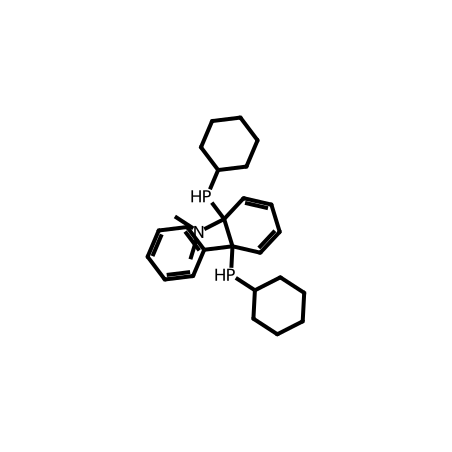 CN(C)C1(PC2CCCCC2)C=CC=CC1(PC1CCCCC1)c1ccccc1